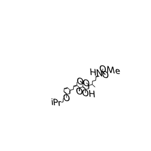 COC(=O)N/C=C/CCC(C)c1cc(O)c(C(=O)/C(C)=C\Cc2cccc(OCCC(C)C)c2)c(=O)o1